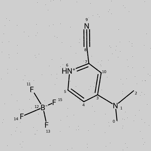 CN(C)c1cc[nH+]c(C#N)c1.F[B-](F)(F)F